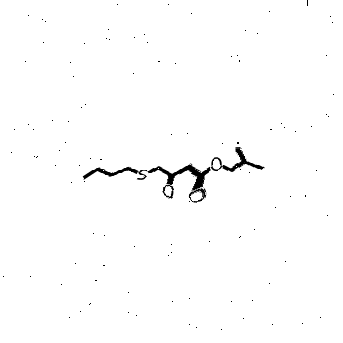 CCCCSCC(=O)CC(=O)OCC(C)C